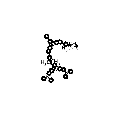 CC(C)(C)c1ccc(-c2ccc3cc4c5cc(-c6ccccc6)cc6c7cc8ccc(-c9ccc(C(C)(C)Cc%10ccc%11c%12c%10c%10cc%13ccc(N(c%14ccccc%14)c%14ccccc%14)cc%13cc%10n%12C%10C=c%12cc(N(c%13ccccc%13)c%13ccccc%13)ccc%12=CC%11%10)cc9)cc8cc7n(c4cc3c2)c56)cc1